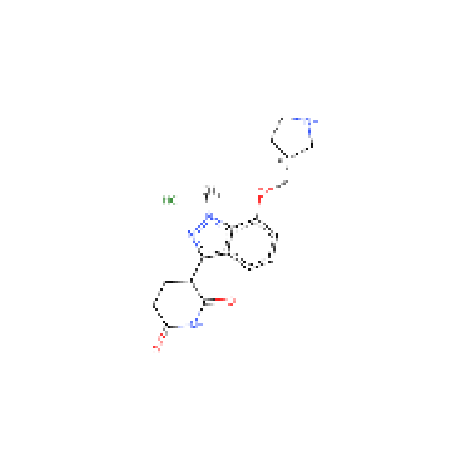 Cl.Cn1nc(C2CCC(=O)NC2=O)c2cccc(OC[C@@H]3CCNC3)c21